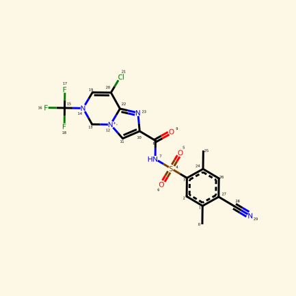 Cc1cc(S(=O)(=O)NC(=O)C2=C[N+]3CN(C(F)(F)F)C=C(Cl)C3=N2)c(C)cc1C#N